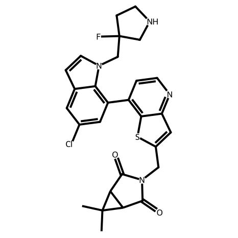 CC1(C)C2C(=O)N(Cc3cc4nccc(-c5cc(Cl)cc6ccn(CC7(F)CCNC7)c56)c4s3)C(=O)C21